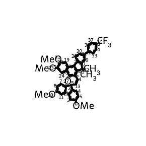 COc1ccc(C2(c3ccc(OC)cc3)C=Cc3c4c(c5cc(OC)c(OC)cc5c3O2)-c2ccc(-c3ccc(C(F)(F)F)cc3)cc2C4(C)C)cc1